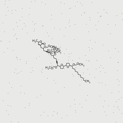 CCCCCCCCCCC(OCOC)C1CCC(C2CCC(C(C#CCCC(CCC#CCC(CC3=CC(C)OC3=O)OCOC)O[Si](C)(C)C(C)(C)C)OCOC)O2)O1